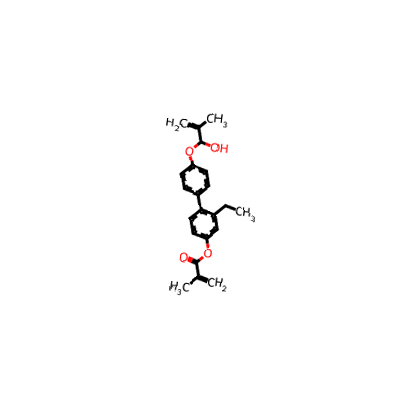 C=C(C)C(=O)Oc1ccc(-c2ccc(OC(O)C(=C)C)cc2)c(CC)c1